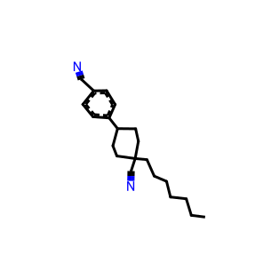 CCCCCCCC1(C#N)CCC(c2ccc(C#N)cc2)CC1